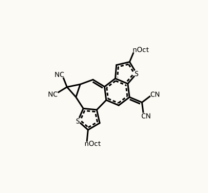 CCCCCCCCc1cc2c(s1)C1C(C=c3c-2cc(=C(C#N)C#N)c2sc(CCCCCCCC)cc32)C1(C#N)C#N